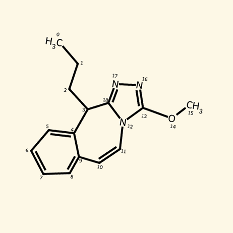 CCCC1c2ccccc2C=Cn2c(OC)nnc21